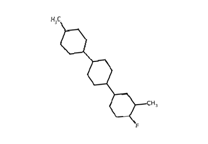 CC1CCC(C2CCC(C3CCC(F)C(C)C3)CC2)CC1